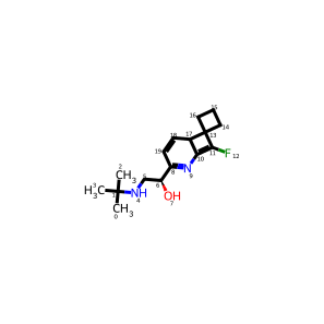 CC(C)(C)NC[C@H](O)C1=NC2=C(F)C3(CCC3)C2C=C1